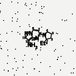 CCC1CCCN1c1ccn2ncc(N)c2n1